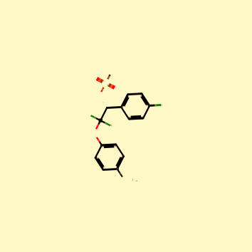 CSc1ccc(OC(F)(F)[C@H](OS(=O)(=O)C(F)(F)F)c2ccc(F)cc2)cc1